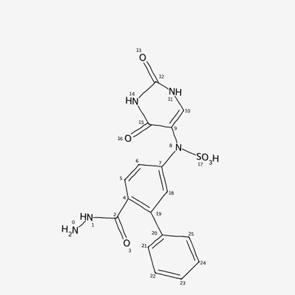 NNC(=O)c1ccc(N(c2c[nH]c(=O)[nH]c2=O)S(=O)(=O)O)cc1-c1ccccc1